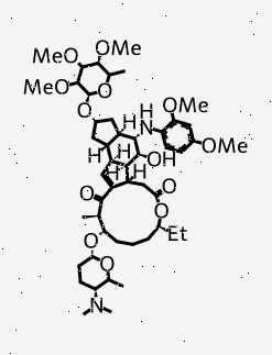 CC[C@H]1CCC[C@H](O[C@H]2CC[C@H](N(C)C)C(C)O2)[C@@H](C)C(=O)C2=C[C@H]3[C@@H]4C[C@H](O[C@@H]5OC(C)[C@H](OC)C(OC)C5OC)C[C@H]4[C@H](Nc4ccc(OC)cc4OC)[C@@H](O)[C@H]3[C@@H]2CC(=O)O1